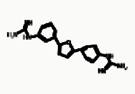 N=C(N)Nc1ccc(-c2ccc(-c3cccc(NC(=N)N)c3)o2)cc1